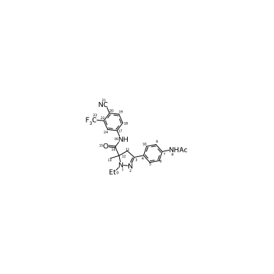 CCN1N=C(c2ccc(NC(C)=O)cc2)CC1(C)C(=O)Nc1ccc(C#N)c(C(F)(F)F)c1